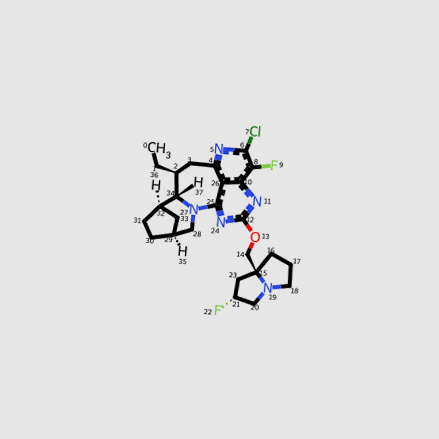 CC[C@H]1Cc2nc(Cl)c(F)c3nc(OC[C@@]45CCCN4C[C@H](F)C5)nc(c23)N2C[C@H]3CC[C@H](C3)[C@H]12